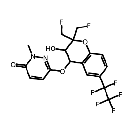 Cn1nc(OC2c3cc(C(F)(F)C(F)(F)F)ccc3OC(CF)(CF)C2O)ccc1=O